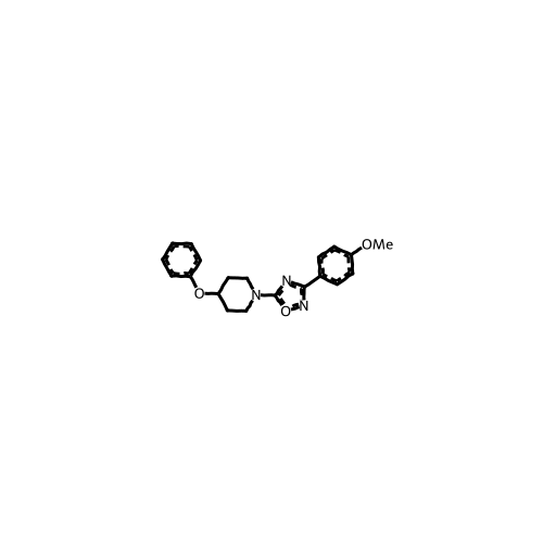 COc1ccc(-c2noc(N3CCC(Oc4ccccc4)CC3)n2)cc1